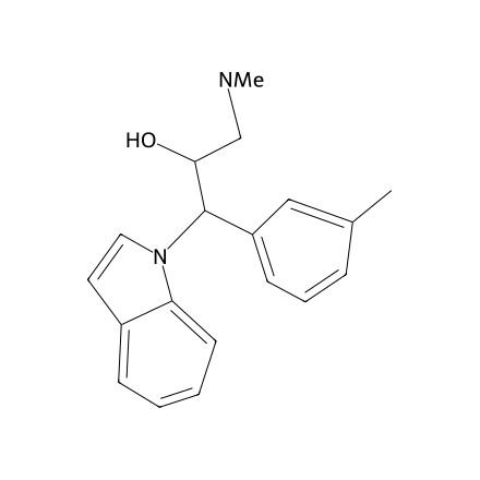 CNCC(O)C(c1cccc(C)c1)n1ccc2ccccc21